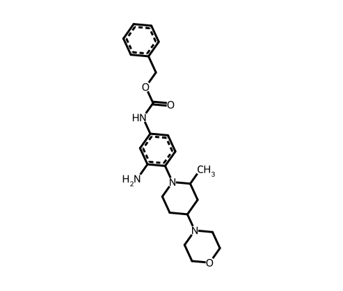 CC1CC(N2CCOCC2)CCN1c1ccc(NC(=O)OCc2ccccc2)cc1N